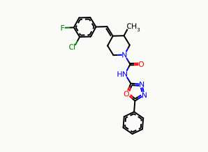 CC1CN(C(=O)Nc2nnc(-c3ccccc3)o2)CCC1=Cc1ccc(F)c(Cl)c1